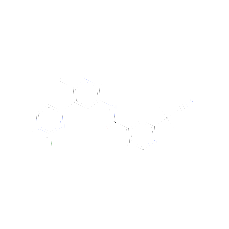 Cc1ncc(NC(=O)c2ccnc(C(C)(C)C#N)c2)cc1-c1ccnc(Cl)n1